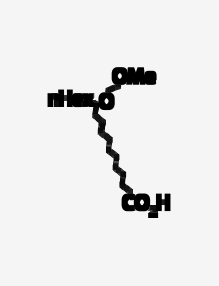 CCCCCCC(C/C=C/CCCCCCCC(=O)O)OCCOC